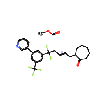 COC=O.O=C1CCCCCC1C/C=C/CC(F)(F)c1cc(-c2cccnc2)cc(C(F)(F)F)c1